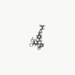 COc1nc(/C(=C\[C@H]2CCC(=O)N2)c2ccc(COCCC(C)C)cc2)ccc1Cl